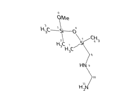 CO[Si](C)(C)O[Si](C)(C)CNCN